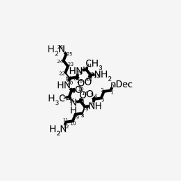 CCCCCCCCCCCCCC(=O)N[C@@H](CCCCN)C(=O)N[C@@H](C)C(=O)N[C@@H](CCCCN)C(=O)N[C@@H](C)C(N)=O